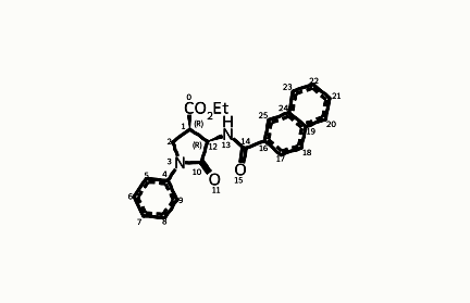 CCOC(=O)[C@@H]1CN(c2ccccc2)C(=O)[C@@H]1NC(=O)c1ccc2ccccc2c1